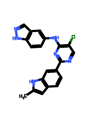 Cc1cc2ccc(-c3ncc(Cl)c(Nc4ccc5[nH]ncc5c4)n3)cc2[nH]1